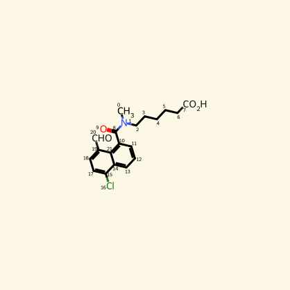 CN(CCCCCC(=O)O)C(=O)c1cccc2c(Cl)ccc(C=O)c12